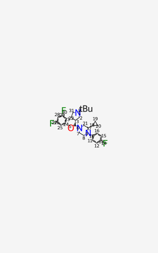 CC(C)(C)N1C[C@@H](C(=O)N2CCN(c3ccc(F)cc3)C(C3CC3)C2)[C@H](c2ccc(F)cc2F)C1